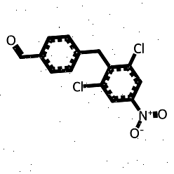 O=Cc1ccc(Cc2c(Cl)cc([N+](=O)[O-])cc2Cl)cc1